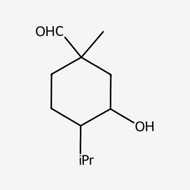 CC(C)C1CCC(C)(C=O)CC1O